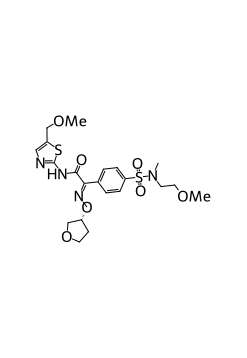 COCCN(C)S(=O)(=O)c1ccc(/C(=N\O[C@@H]2CCOC2)C(=O)Nc2ncc(COC)s2)cc1